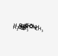 CCNc1ccc(C2=NN(C(=O)OC(C)(C)C)CC2)cc1